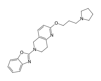 c1ccc2oc(N3CCc4nc(OCCCN5CCCC5)ccc4C3)nc2c1